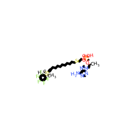 C[C@H](Cn1cnc2c(N)ncnc21)OCP(=O)(O)OCCSCCCCCCCCCCC#CS(C)(C)c1c(F)c(F)c(F)c(F)c1F